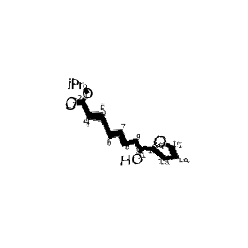 CC(C)OC(=O)CCCC=CCC(O)c1ccco1